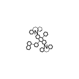 C1=CC2=C(CC1)CCc1ccccc1N2c1ccc2c(-c3cccc(-c4cccc5ccccc45)c3)c3cc(N4c5ccccc5CCc5ccccc54)ccc3c(-c3ccccc3)c2c1